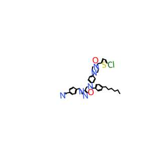 CCCCCCc1ccc(C(=O)N(Cc2cncn2Cc2ccc(C#N)cc2)c2ccc(N3CCN(C(=O)c4ccc(Cl)s4)CC3)cc2)cc1